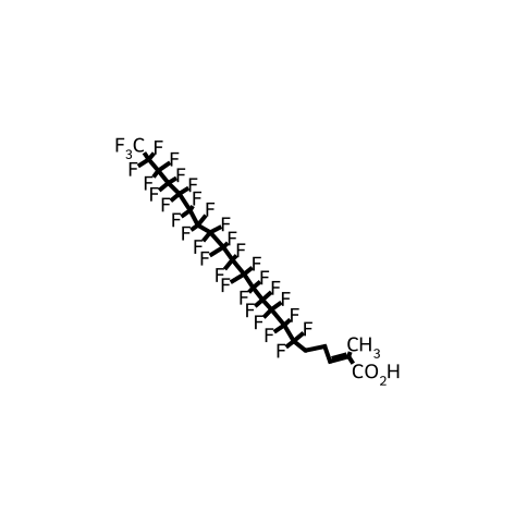 CC(=CCCC(F)(F)C(F)(F)C(F)(F)C(F)(F)C(F)(F)C(F)(F)C(F)(F)C(F)(F)C(F)(F)C(F)(F)C(F)(F)C(F)(F)C(F)(F)C(F)(F)C(F)(F)C(F)(F)F)C(=O)O